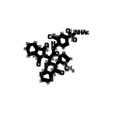 CC(=O)NS(=O)(=O)c1ccc(NC(=O)C(c2nc3nccnc3c(=O)n2-c2cccn2C)N2C(=O)c3ccccc3C2=O)c(Cl)c1